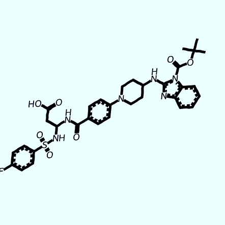 CC(C)(C)OC(=O)n1c(NC2CCN(c3ccc(C(=O)NC(CC(=O)O)NS(=O)(=O)c4ccc(F)cc4)cc3)CC2)nc2ccccc21